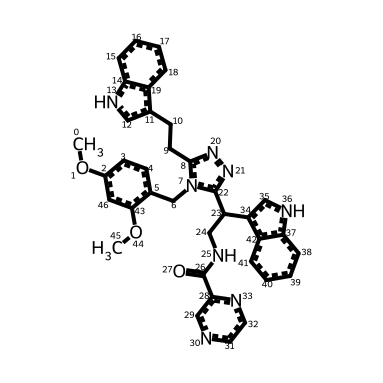 COc1ccc(Cn2c(CCc3c[nH]c4ccccc34)nnc2C(CNC(=O)c2cnccn2)c2c[nH]c3ccccc23)c(OC)c1